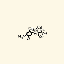 CCN(C(CS)C(=O)O)S(=O)(=O)c1cc(Cl)c(N)cc1Cl